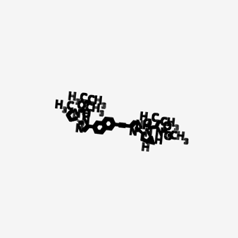 COC(=O)N[C@H](C(=O)N1C2C[C@@H]2C[C@H]1c1nc(C#Cc2ccc3cc(-c4cnc([C@@H]5CC[C@@H](C)N5C(=O)OC(C)(C)C)[nH]4)ccc3c2)c[nH]1)C(C)C